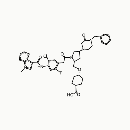 Cn1cc(C(=O)Nc2cc(F)c(CC(=O)N3C[C@@H](N4CCN(Cc5ccccc5)C(=O)C4)C[C@H]3CO[C@H]3CC[C@H](C(=O)O)CC3)cc2Cl)c2ccccc21